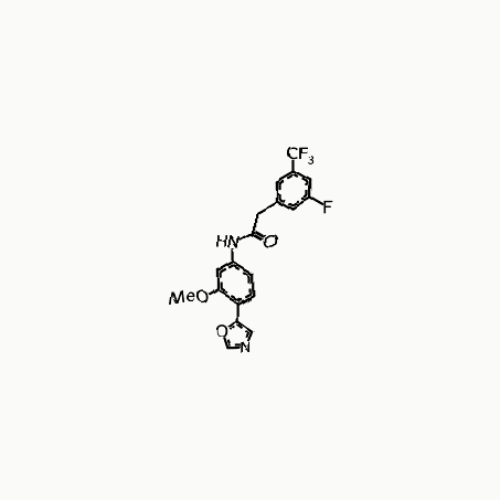 COc1cc(NC(=O)Cc2cc(F)cc(C(F)(F)F)c2)ccc1-c1cnco1